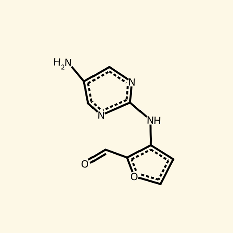 Nc1cnc(Nc2ccoc2C=O)nc1